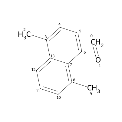 C=O.Cc1cccc2c(C)cccc12